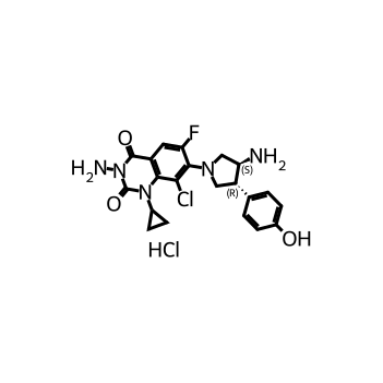 Cl.N[C@@H]1CN(c2c(F)cc3c(=O)n(N)c(=O)n(C4CC4)c3c2Cl)C[C@H]1c1ccc(O)cc1